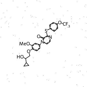 COc1cc(-n2ccnc(Sc3ccc(OC(F)(F)F)cc3)c2=O)ccc1OCC(O)C1CC1